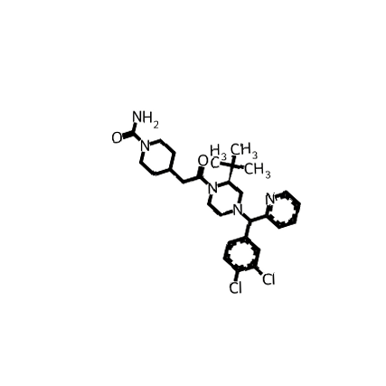 CC(C)(C)[C@H]1CN(C(c2ccc(Cl)c(Cl)c2)c2ccccn2)CCN1C(=O)CC1CCN(C(N)=O)CC1